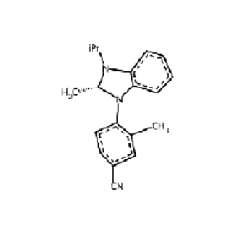 Cc1cc(C#N)ccc1N1c2ccccc2N(C(C)C)[C@H]1C